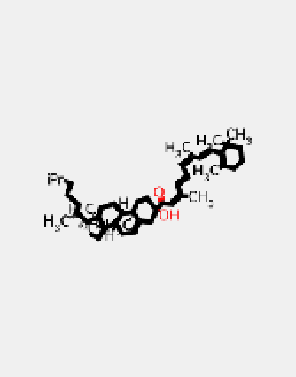 CC(C=CC1=C(C)CCCC1(C)C)=CC=CC(C)=CC(=O)C1(O)CC[C@@]2(C)C(=CC[C@H]3[C@@H]4CC[C@H]([C@H](C)CCCC(C)C)[C@@]4(C)CC[C@@H]32)C1